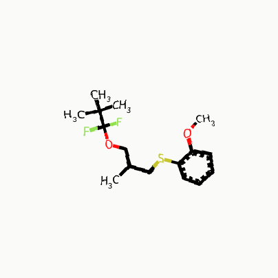 COc1ccccc1SCC(C)COC(F)(F)C(C)(C)C